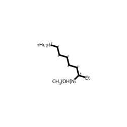 CCCCCCCCCCCCC(CC)N(C)O